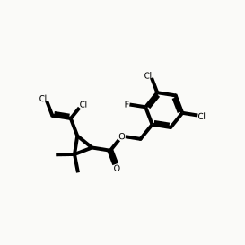 CC1(C)C(C(=O)OCc2cc(Cl)cc(Cl)c2F)C1/C(Cl)=C/Cl